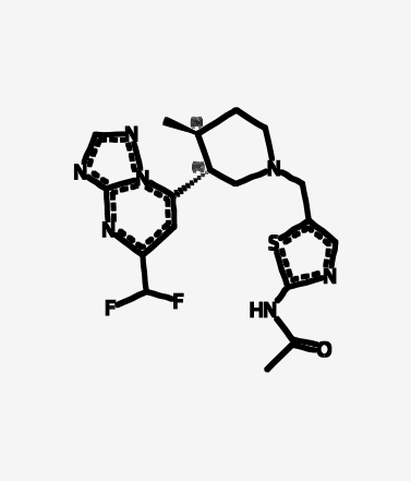 CC(=O)Nc1ncc(CN2CC[C@H](C)[C@@H](c3cc(C(F)F)nc4ncnn34)C2)s1